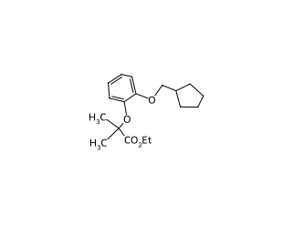 CCOC(=O)C(C)(C)Oc1ccccc1OCC1CCCC1